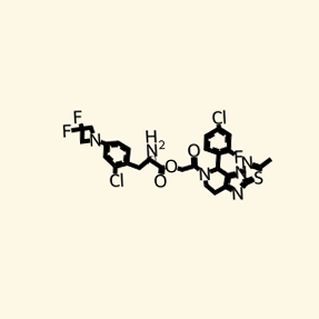 Cc1nn2c3c(nc2s1)CCN(C(=O)COC(=O)[C@@H](N)Cc1ccc(N2CC(F)(F)C2)cc1Cl)C3c1ccc(Cl)cc1F